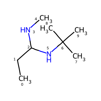 CCC(NC)NC(C)(C)C